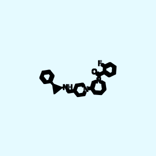 O=C(c1ccccc1F)N1C=CC=CC(N2CCC(CN[C@@H]3C[C@H]3c3ccccc3)CC2)=C1